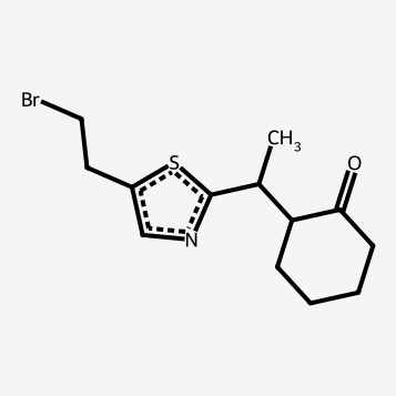 CC(c1ncc(CCBr)s1)C1CCCCC1=O